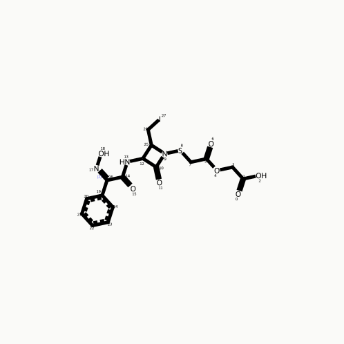 O=C(O)COC(=O)CSN1C(=O)C(NC(=O)/C(=N\O)c2ccccc2)C1CI